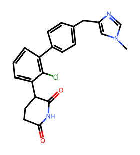 Cn1cnc(Cc2ccc(-c3cccc(C4CCC(=O)NC4=O)c3Cl)cc2)c1